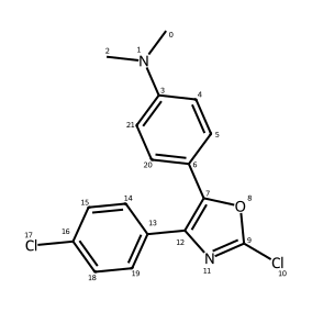 CN(C)c1ccc(-c2oc(Cl)nc2-c2ccc(Cl)cc2)cc1